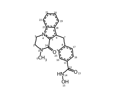 CN1CCn2c(c(Cc3ccc(C(=O)NO)cc3)c3ccccc32)C1=O